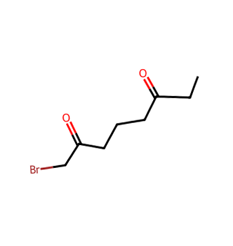 CCC(=O)CCCC(=O)CBr